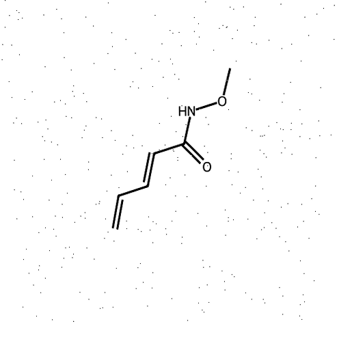 C=CC=CC(=O)NOC